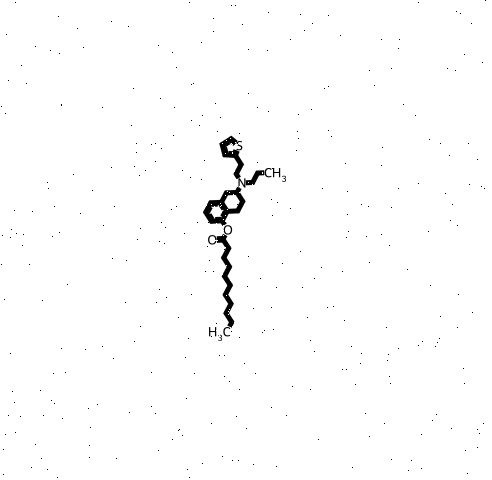 CCCCCCCCCCC(=O)Oc1cccc2c1CCC(N(CCC)CCc1cccs1)C2